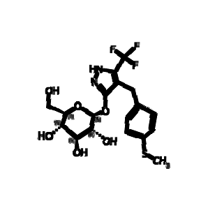 CSc1ccc(Cc2c(O[C@@H]3O[C@H](CO)[C@@H](O)[C@H](O)[C@H]3O)n[nH]c2C(F)(F)F)cc1